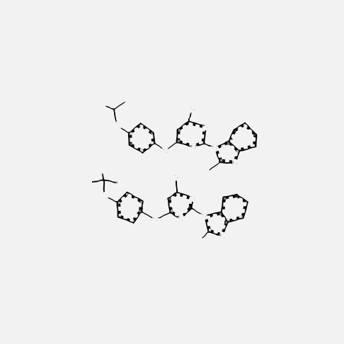 Cc1nc2ccccc2n1-c1nc(N)cc(Nc2ccc(OC(F)(F)F)cc2)n1.Cc1nc2ccccc2n1-c1nc(N)cc(Nc2ccc(OC(F)F)cc2)n1